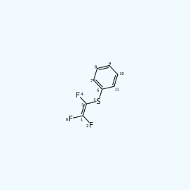 FC(F)=C(F)Sc1ccccc1